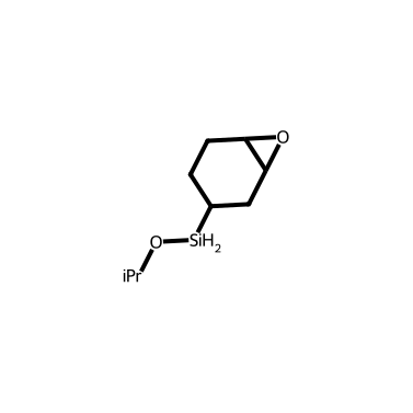 CC(C)O[SiH2]C1CCC2OC2C1